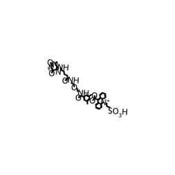 Cc1cc(C(=O)NCCOCCNC(=O)CCCc2nc3c(=O)n(C)c(=O)n(C)c3[nH]2)cc(C)c1OC(=O)c1c2ccccc2[n+](CCCS(=O)(=O)O)c2ccccc12